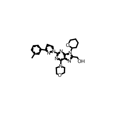 Cc1cccc(-c2ccn(-c3nc(N4CCOCC4)c4nc(CO)n(C5CCCCO5)c4n3)n2)c1